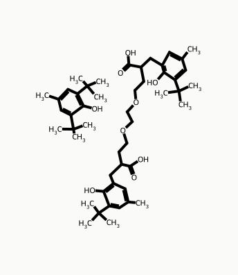 Cc1cc(C(C)(C)C)c(O)c(C(C)(C)C)c1.Cc1cc(CC(CCOCCOCCC(Cc2cc(C)cc(C(C)(C)C)c2O)C(=O)O)C(=O)O)c(O)c(C(C)(C)C)c1